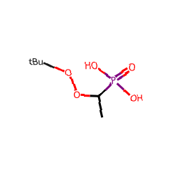 CC(OOC(C)(C)C)P(=O)(O)O